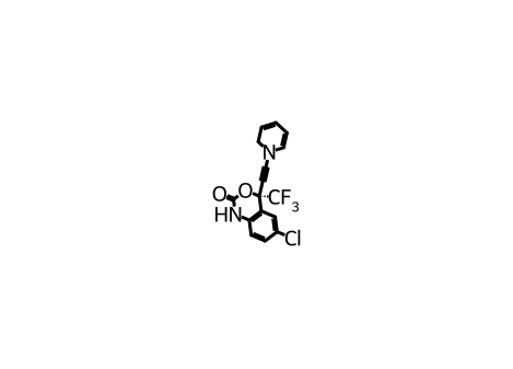 O=C1Nc2ccc(Cl)cc2[C@@](C#CN2C=CC=CC2)(C(F)(F)F)O1